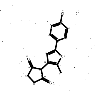 Cc1sc(-c2ccc(Cl)cc2)cc1C1C(=O)CCC1=O